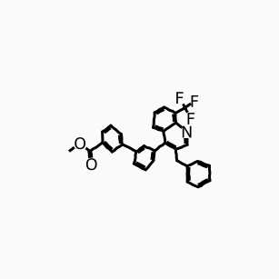 COC(=O)c1cccc(-c2cccc(-c3c(Cc4ccccc4)cnc4c(C(F)(F)F)cccc34)c2)c1